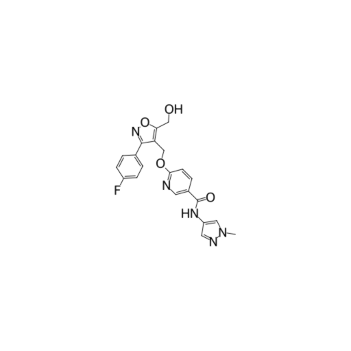 Cn1cc(NC(=O)c2ccc(OCc3c(-c4ccc(F)cc4)noc3CO)nc2)cn1